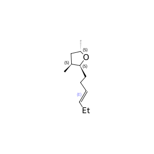 CC/C=C/CC[C@@H]1O[C@@H](C)C[C@@H]1C